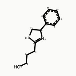 OCCCC1=NC(c2ccccc2)CS1